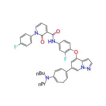 CCCCN(CCC)C1=CCC=C(c2cc(Oc3ccc(NC(=O)c4cccn(-c5ccc(F)cc5)c4=O)cc3F)c3ccnn3c2)C=C1